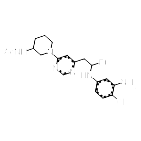 CCC(Cc1cc(N2CCCC(NC(C)=O)C2)ncn1)Nc1ccc(Cl)c(N)c1